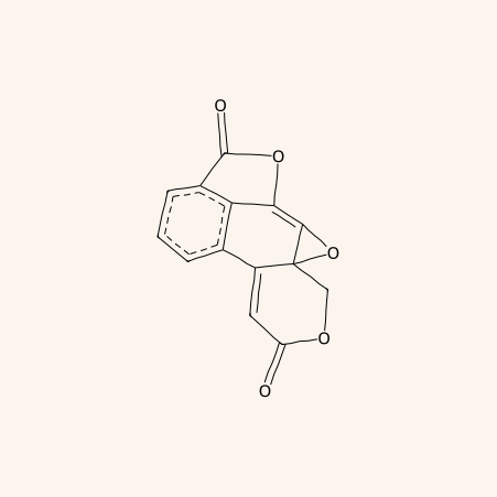 O=C1C=C2c3cccc4c3C(=C3OC23CO1)OC4=O